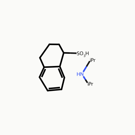 CC(C)NC(C)C.O=S(=O)(O)C1CCCc2ccccc21